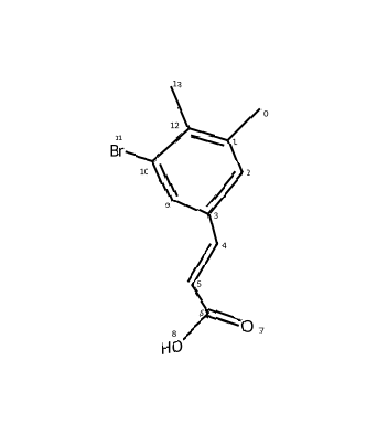 Cc1cc(/C=C/C(=O)O)cc(Br)c1C